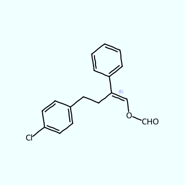 O=CO/C=C(\CCc1ccc(Cl)cc1)c1ccccc1